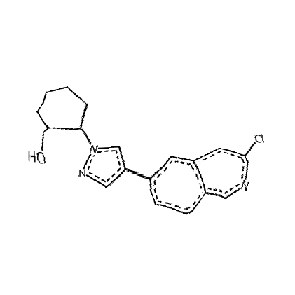 OC1CCCCC1n1cc(-c2ccc3cnc(Cl)cc3c2)cn1